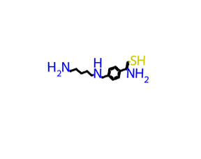 NCCCCCNCc1ccc(/C(N)=C/S)cc1